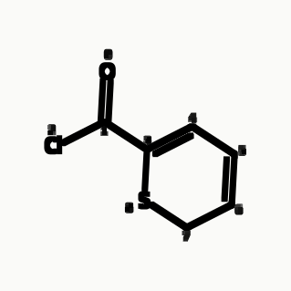 O=C(Cl)C1=CC=CCS1